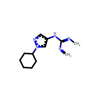 C=N/C(=N\C)Nc1cnn(C2CCCCC2)c1